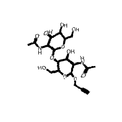 C#CCOC1OC(CO)C(OC2OC(CO)C(O)C(O)C2NC(C)=O)C(O)C1NC(C)=O